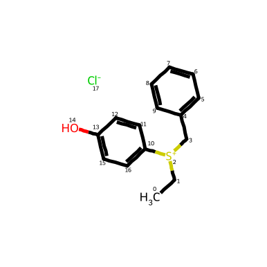 CC[S+](Cc1ccccc1)c1ccc(O)cc1.[Cl-]